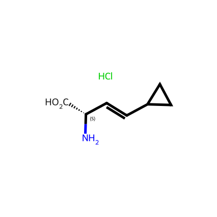 Cl.N[C@@H](C=CC1CC1)C(=O)O